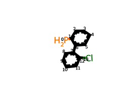 Pc1ccccc1-c1ccccc1Cl